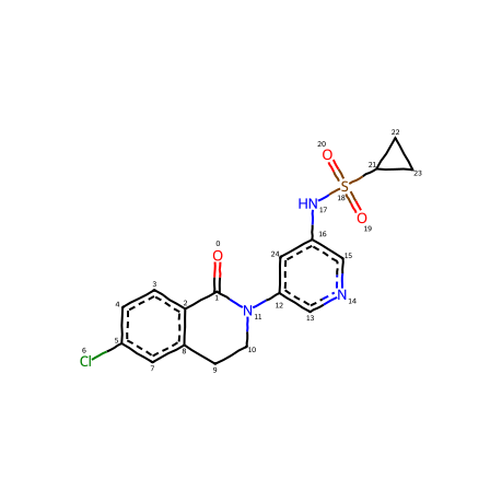 O=C1c2ccc(Cl)cc2CCN1c1cncc(NS(=O)(=O)C2CC2)c1